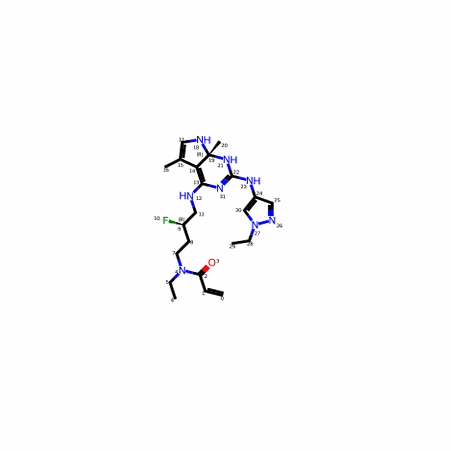 C=CC(=O)N(CC)CC[C@@H](F)CNC1=C2C(C)=CN[C@]2(C)NC(Nc2cnn(CC)c2)=N1